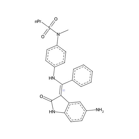 CCCS(=O)(=O)N(C)c1ccc(N/C(=C2\C(=O)Nc3ccc(N)cc32)c2ccccc2)cc1